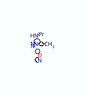 Cc1ccc2c(c1)CC(NC(C)C)Cc1nnc([C@H]3CC[C@H](Oc4ccccn4)CC3)n1-2